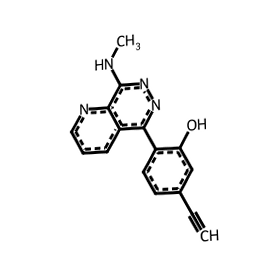 C#Cc1ccc(-c2nnc(NC)c3ncccc23)c(O)c1